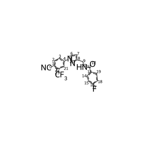 N#Cc1ccc(-n2ccc(CNC(=O)c3ccc(F)cc3)n2)cc1C(F)(F)F